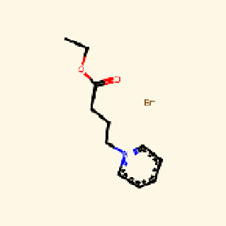 CCOC(=O)CCC[n+]1ccccc1.[Br-]